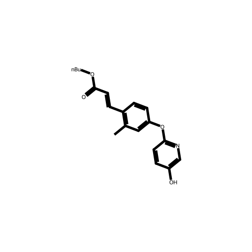 CCCCOC(=O)/C=C/c1ccc(Oc2ccc(O)cn2)cc1C